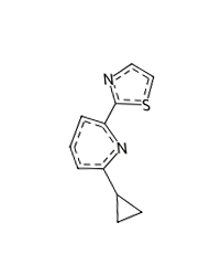 c1cc(-c2nccs2)nc(C2CC2)c1